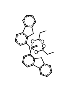 [CH2]=[Ti]([O]C(=O)CC)([O]C(=O)CC)([c]1cccc2c1Cc1ccccc1-2)[c]1cccc2c1Cc1ccccc1-2